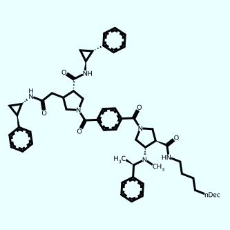 CCCCCCCCCCCCCCNC(=O)[C@@H]1CN(C(=O)c2ccc(C(=O)N3CC(CC(=O)N[C@H]4C[C@@H]4c4ccccc4)[C@H](C(=O)N[C@H]4C[C@@H]4c4ccccc4)C3)cc2)C[C@H]1N(C)[C@H](C)c1ccccc1